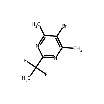 Cc1nc(C(C)(F)F)nc(C)c1Br